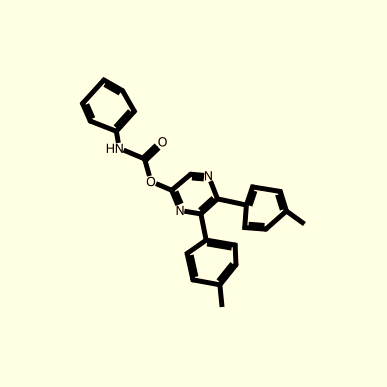 Cc1ccc(-c2ncc(OC(=O)Nc3ccccc3)nc2-c2ccc(C)cc2)cc1